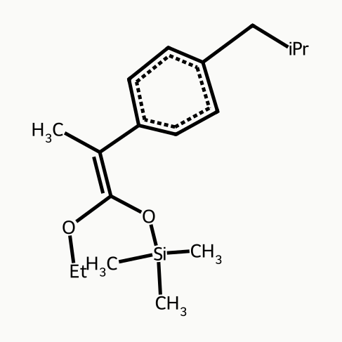 CCOC(O[Si](C)(C)C)=C(C)c1ccc(CC(C)C)cc1